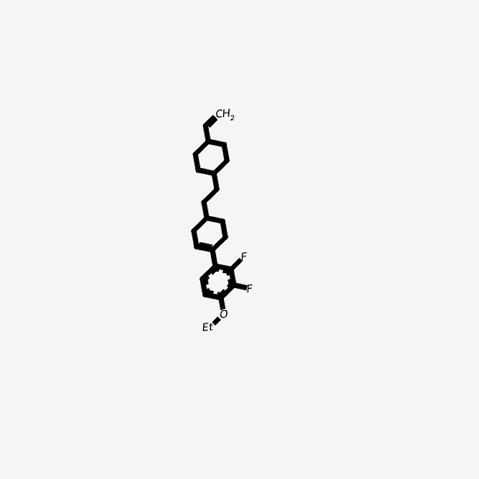 C=CC1CCC(CCC2CC=C(c3ccc(OCC)c(F)c3F)CC2)CC1